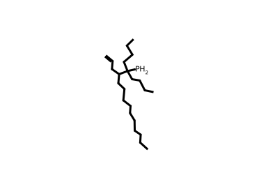 C=CCC(CCCCCCCCCC)C(P)(CCCC)CCCC